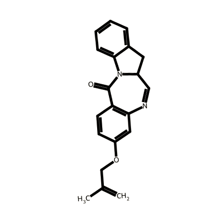 C=C(C)COc1ccc2c(c1)N=CC1Cc3ccccc3N1C2=O